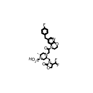 C[C@@H]1CN(CC(=O)N2CCOc3ncc(Cc4ccc(F)cc4)cc32)[C@@H](CN2C(=O)OCC2C(F)F)CN1C(=O)O